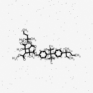 CCCC(C)(C)NC(=O)C1(C)C(C(=O)OC)C(C)(C(=O)Nc2ccc(C(c3ccc(C(C)(CC)CCC)cc3)(C(F)(F)F)C(F)(F)F)cc2)C1C(=O)OC